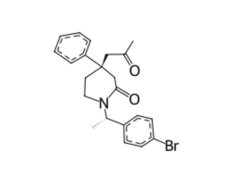 CC(=O)C[C@]1(c2ccccc2)CCN([C@@H](C)c2ccc(Br)cc2)C(=O)C1